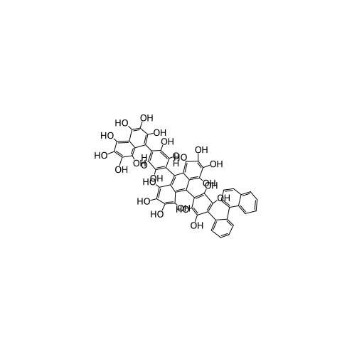 Oc1c(O)c(-c2c3c(O)c(O)c(O)c(O)c3c(-c3c(O)c(O)c(-c4c(O)c(O)c(O)c5c(O)c(O)c(O)c(O)c45)c(O)c3O)c3c(O)c(O)c(O)c(O)c23)c(O)c(O)c1-c1ccccc1-c1cccc2ccccc12